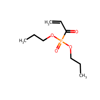 C=CC(=O)P(=O)(OCCC)OCCC